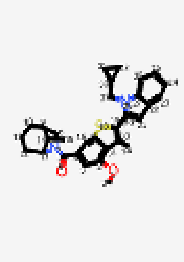 COc1cc(C(=O)N2CC3CCCC2C3C)cc2sc(-c3cc4ccccc4n3CC3CC3)c(C)c12